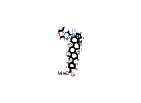 CCCC1COCC(C)N1CCN[C@]12CCC[C@@H]1[C@H]1CCC3[C@@](C)(CCC4C(C)(C)C(c5ccc(C(=O)OC)cc5)=CC[C@@]43C)C1CC2